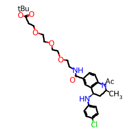 CC(=O)N1c2ccc(C(=O)NCCOCCOCCOCCC(=O)OC(C)(C)C)cc2[C@H](Nc2ccc(Cl)cc2)C[C@@H]1C